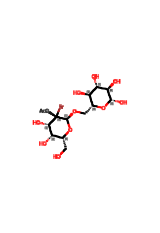 CC(=O)O[C@@]1(Br)[C@@H](OC[C@H]2O[C@@H](O)[C@H](O)[C@@H](O)[C@@H]2O)O[C@H](CO)[C@H](O)[C@@H]1O